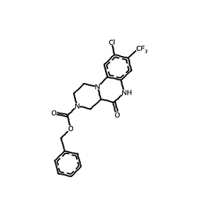 O=C1Nc2cc(C(F)(F)F)c(Cl)cc2N2CCN(C(=O)OCc3ccccc3)CC12